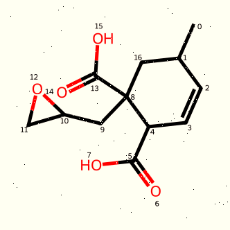 CC1C=CC(C(=O)O)C(CC2CO2)(C(=O)O)C1